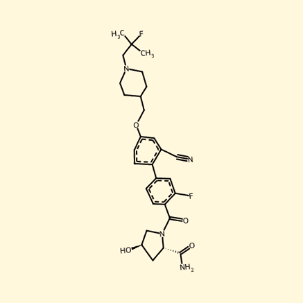 CC(C)(F)CN1CCC(COc2ccc(-c3ccc(C(=O)N4C[C@H](O)C[C@H]4C(N)=O)c(F)c3)c(C#N)c2)CC1